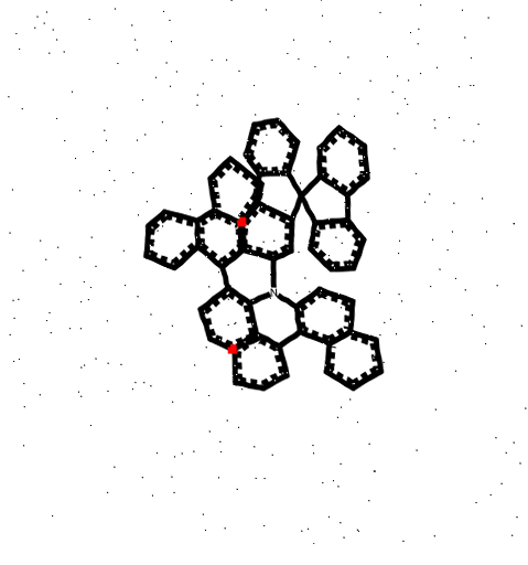 c1ccc(-c2c(N(c3ccc4c(c3)C3(c5ccccc5-c5ccccc53)c3ccccc3-4)c3ccccc3-c3cc4ccccc4c4ccccc34)ccc3ccccc23)cc1